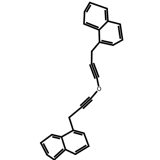 C(#COC#CCc1cccc2ccccc12)Cc1cccc2ccccc12